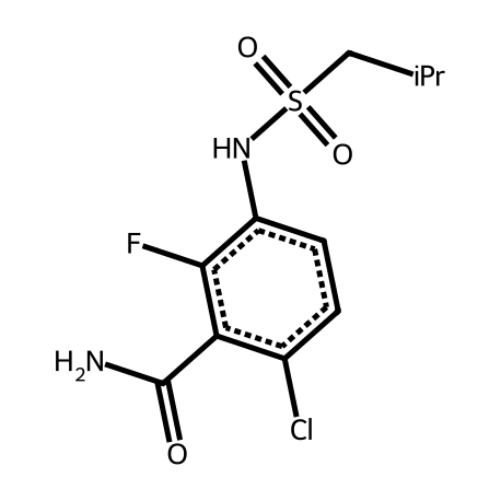 CC(C)CS(=O)(=O)Nc1ccc(Cl)c(C(N)=O)c1F